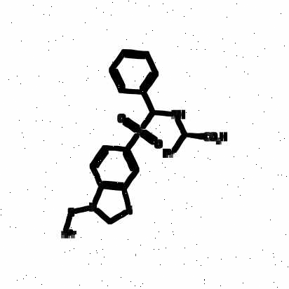 CCCSN1CSc2cc(S(=O)(=O)C(N[C@@H](C(=O)O)C(C)C)c3ccccc3)ccc21